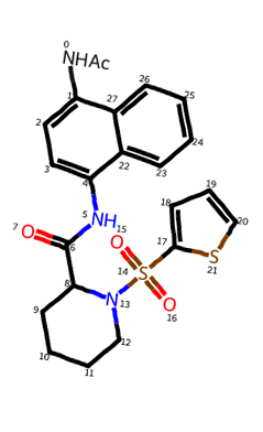 CC(=O)Nc1ccc(NC(=O)C2CCCCN2S(=O)(=O)c2cccs2)c2ccccc12